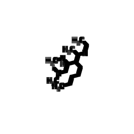 C\C=N/C(C)=C(\C=C/C=C/C)C(=C/N(C)I)/NC